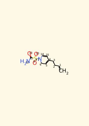 C=CC[CH]C1=CCN(S(=O)(=O)C(N)=O)C=C1